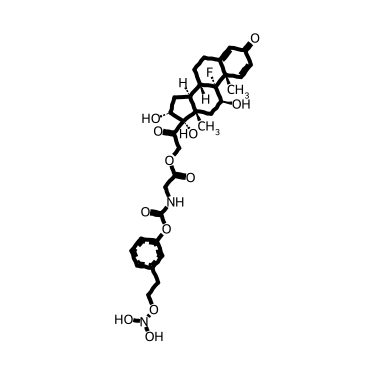 C[C@]12C=CC(=O)C=C1CC[C@H]1[C@@H]3C[C@@H](O)[C@](O)(C(=O)COC(=O)CNC(=O)Oc4cccc(CCON(O)O)c4)[C@@]3(C)C[C@H](O)[C@@]12F